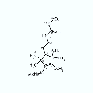 CNOC1=C(C)C(C)(C)[C@H](CCNC(=O)OC(C)(C)C)C1(C)C